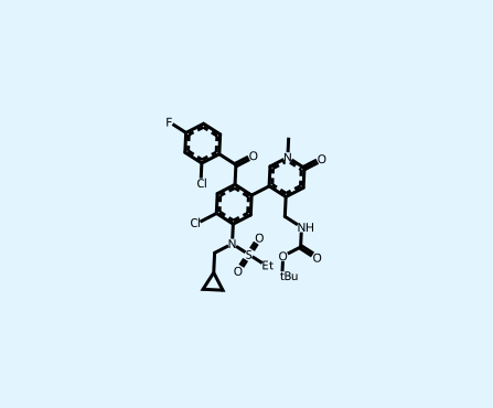 CCS(=O)(=O)N(CC1CC1)c1cc(-c2cn(C)c(=O)cc2CNC(=O)OC(C)(C)C)c(C(=O)c2ccc(F)cc2Cl)cc1Cl